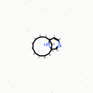 C1=CC23CCCCCCCCCC(C=N1)(C2)N3